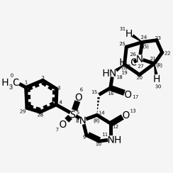 Cc1ccc(S(=O)(=O)N2C=CNC(=O)[C@H]2CC(=O)N[C@@H]2C[C@H]3CC[C@@H](C2)N3C)cc1